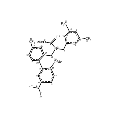 COC(=O)N(Cc1cc(C(F)(F)F)cc(C(F)(F)F)c1)Cc1cc(C(F)(F)F)ccc1-c1cc(C(F)F)ccc1OC